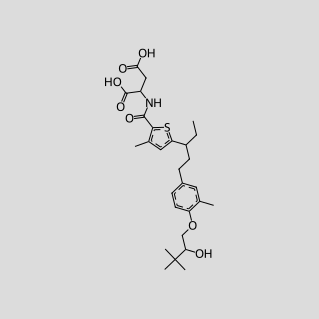 CCC(CCc1ccc(OCC(O)C(C)(C)C)c(C)c1)c1cc(C)c(C(=O)NC(CC(=O)O)C(=O)O)s1